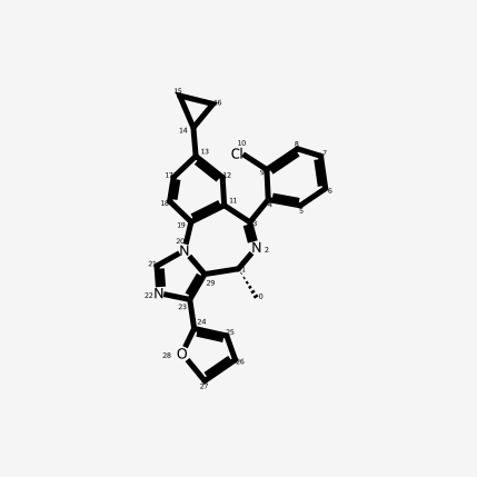 C[C@H]1N=C(c2ccccc2Cl)c2cc(C3CC3)ccc2-n2cnc(-c3ccco3)c21